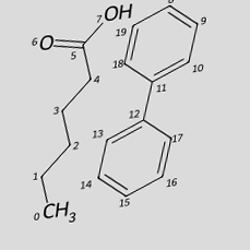 CCCCCC(=O)O.c1ccc(-c2ccccc2)cc1